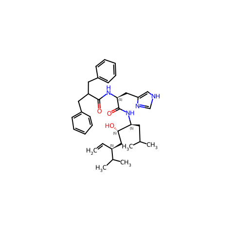 C=C[C@@H](C[C@H](O)[C@H](CC(C)C)NC(=O)[C@H](Cc1c[nH]cn1)NC(=O)C(Cc1ccccc1)Cc1ccccc1)C(C)C